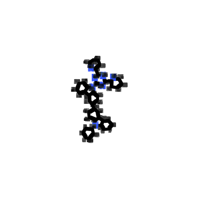 c1ccc(-n2c3ccccc3c3cc(-c4ccc5c(c4)c4ccccc4n5-c4nc(-c5ccccn5)nc(-c5ccccn5)n4)ccc32)cc1